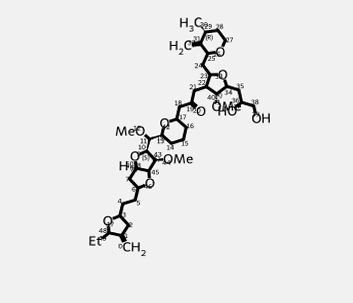 C=C1CC(CCC2C[C@H]3O[C@@H](C(OC)[C@@H]4CCCC(CC(=O)CC5C(CC6OCC[C@@H](C)C6=C)OC(CC(O)CO)[C@@H]5OC)O4)[C@@H](OC)C3O2)OC1CC